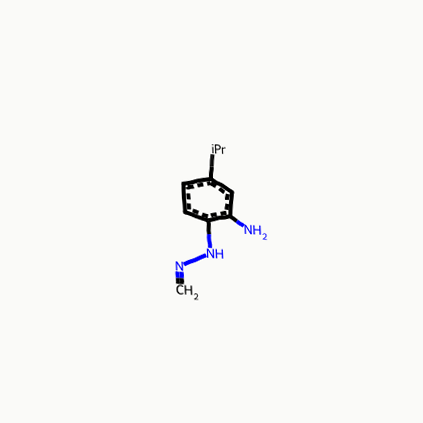 C=NNc1ccc(C(C)C)cc1N